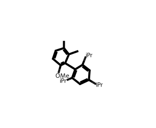 COc1ccc(C)c(C)c1-c1c(C(C)C)cc(C(C)C)cc1C(C)C